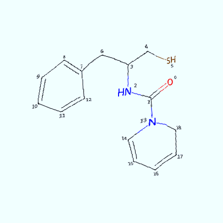 O=C(NC(CS)Cc1ccccc1)N1C=CC=CC1